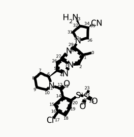 Cc1cn2nc([C@@H]3CCCCN3C(=O)c3cc(Cl)ccc3SS(C)(=O)=O)cc2nc1N1C[C@@H](N)[C@H](C#N)C1